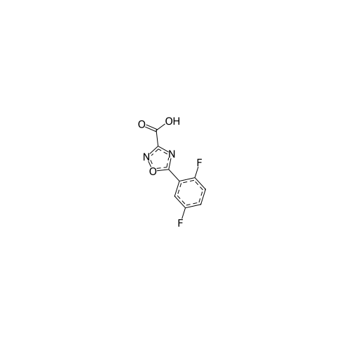 O=C(O)c1noc(-c2cc(F)ccc2F)n1